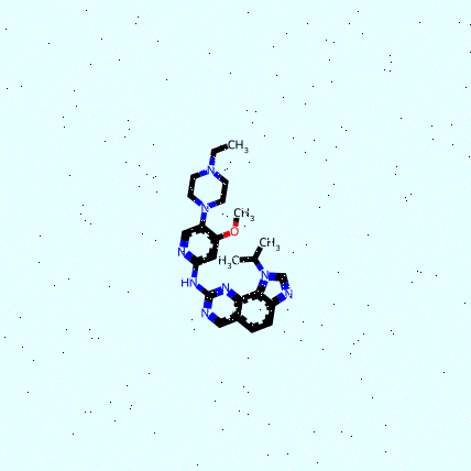 CCN1CCN(c2cnc(Nc3ncc4ccc5ncn(C(C)C)c5c4n3)cc2OC)CC1